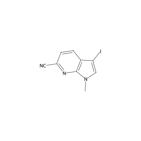 Cn1cc(I)c2ccc(C#N)nc21